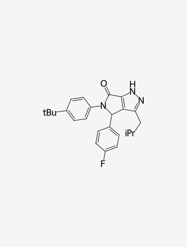 CC(C)Cc1n[nH]c2c1C(c1ccc(F)cc1)N(c1ccc(C(C)(C)C)cc1)C2=O